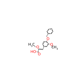 CCOC(=Cc1ccc(OCc2ccccc2)c(OC)c1)C(=O)O